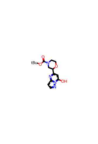 CC(C)(C)OC(=O)N1CCOC(c2cc(O)n3nccc3n2)C1